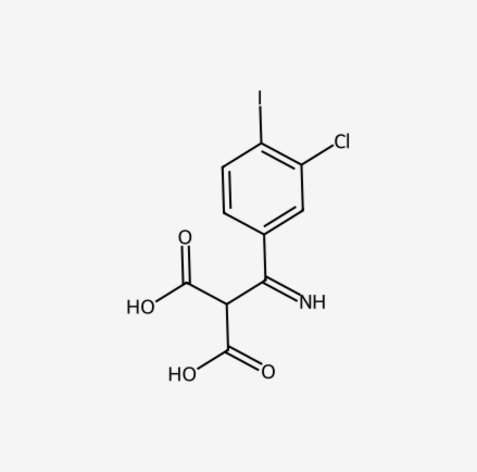 N=C(c1ccc(I)c(Cl)c1)C(C(=O)O)C(=O)O